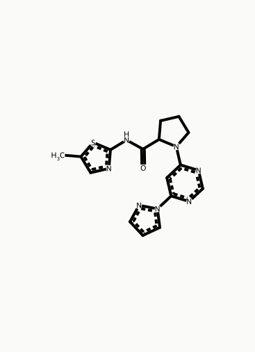 Cc1cnc(NC(=O)C2CCCN2c2cc(-n3cccn3)ncn2)s1